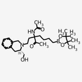 CC(=O)NC(CCCCB1OC(C)(C)C(C)(C)O1)(CCN1Cc2ccccc2C[C@H]1CO)C(C)=O